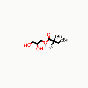 CC(C)(C)CC(C)(C(=O)OCC(O)CO)C(C)(C)C